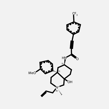 C=CC[N@@+]1(C)CC[C@@]2(c3cccc(OC)c3)C[C@@H](NC(=O)C#Cc3ccc(C(F)(F)F)cc3)CCC2(O)C1